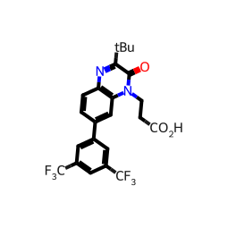 CC(C)(C)c1nc2ccc(-c3cc(C(F)(F)F)cc(C(F)(F)F)c3)cc2n(CCC(=O)O)c1=O